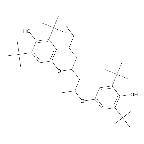 CC[CH]CC(CC(C)Oc1cc(C(C)(C)C)c(O)c(C(C)(C)C)c1)Oc1cc(C(C)(C)C)c(O)c(C(C)(C)C)c1